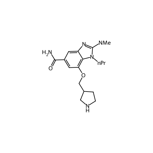 CCCn1c(NC)nc2cc(C(N)=O)cc(OCC3CCNC3)c21